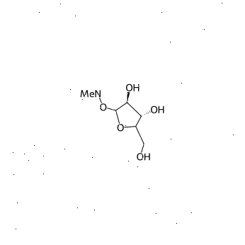 CNOC1OC(CO)[C@@H](O)[C@@H]1O